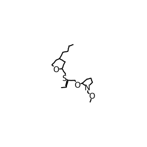 C/C=C(/COC1CCCN1COC)SCC1CC(CCCC)CCO1